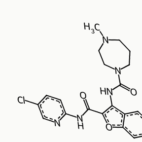 CN1CCCN(C(=O)Nc2c(C(=O)Nc3ccc(Cl)cn3)oc3ccccc23)CC1